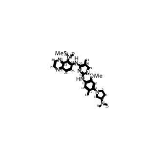 COc1cc(N2CCC(N(C)C)C2)c(C)cc1Nc1ncc(C)c(Nc2ccc3nccnc3c2N(C)SC)n1